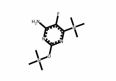 C[Si](C)(C)Oc1nc(N)c(F)c([Si](C)(C)C)n1